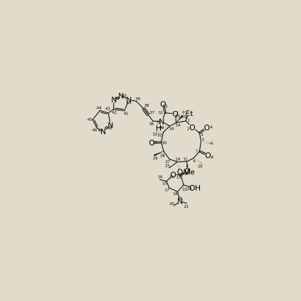 CC[C@H]1OC(=O)[C@H](C)C(=O)[C@H](C)[C@@H](O[C@@H]2OC(C)CC(N(C)C)C2O)[C@](C)(OC)C[C@@H](C)C(=O)[C@H](C)[C@H]2N(CC#CCn3cc(-c4cccnn4)nn3)C(=O)O[C@]12C